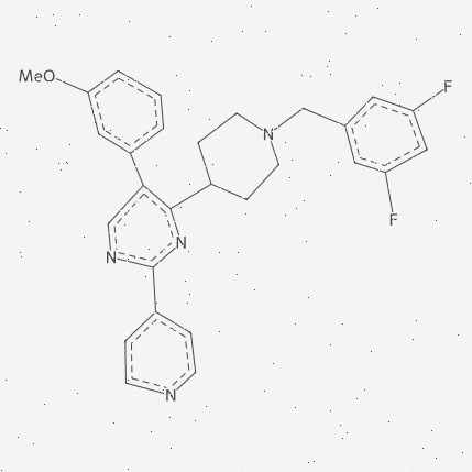 COc1cccc(-c2cnc(-c3ccncc3)nc2C2CCN(Cc3cc(F)cc(F)c3)CC2)c1